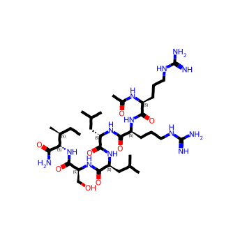 CC[C@H](C)[C@H](NC(=O)[C@H](CO)NC(=O)[C@H](CC(C)C)NC(=O)[C@H](CC(C)C)NC(=O)[C@H](CCCNC(=N)N)NC(=O)[C@H](CCCNC(=N)N)NC(C)=O)C(N)=O